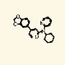 C=C/C(=C\C(=O)N(c1ccccn1)C1CCCCC1)c1ccc2c(c1)OCO2